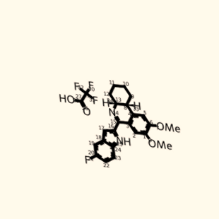 COc1cc2c(cc1OC)[C@H]1CCCC[C@H]1N=C2c1cc2cc(F)ccc2[nH]1.O=C(O)C(F)(F)F